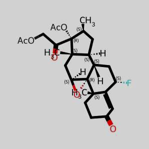 CC(=O)OCC(=O)[C@@]1(OC(C)=O)[C@@H](C)C[C@H]2[C@@H]3C[C@H](F)C4=CC(=O)CC[C@]4(C)[C@]34O[C@H]4C[C@@]21C